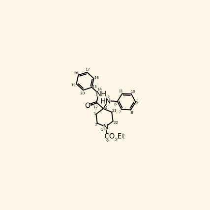 CCOC(=O)N1CCC(Nc2ccccc2)(C(=O)Nc2ccccc2)CC1